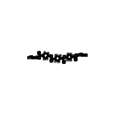 CCCCCCCCCOC(=O)c1ccc(OC(=O)c2ccc(C(=O)Oc3ccc(C(=O)OCCCCCCCCC)cc3)cc2)cc1